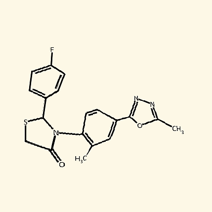 Cc1nnc(-c2ccc(N3C(=O)CSC3c3ccc(F)cc3)c(C)c2)o1